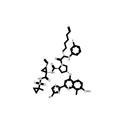 C=CCCCCC[C@H](Nc1cccc(F)c1)C(=O)N1C[C@H](Oc2cc(-c3nc(C(C)C)cs3)nc3c(C)c(OC)ccc23)C[C@H]1C(=O)N[C@]1(C(=O)NS(=O)(=O)C2(C)CC2)C[C@H]1C=C